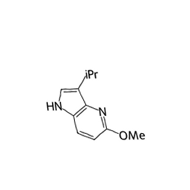 COc1ccc2[nH]cc(C(C)C)c2n1